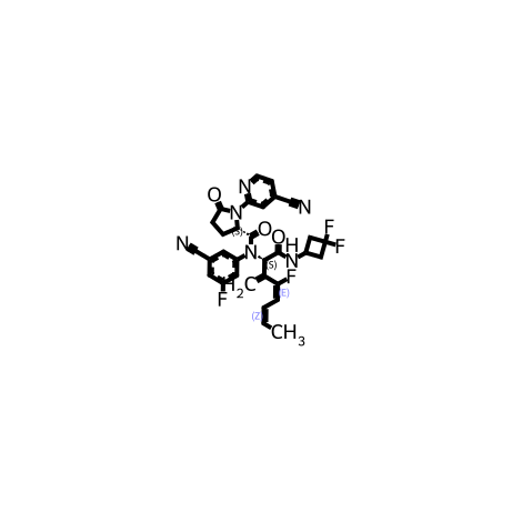 C=C(/C(F)=C\C=C/C)[C@@H](C(=O)NC1CC(F)(F)C1)N(C(=O)[C@@H]1CCC(=O)N1c1cc(C#N)ccn1)c1cc(F)cc(C#N)c1